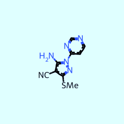 CSc1nn(-c2ccncn2)c(N)c1C#N